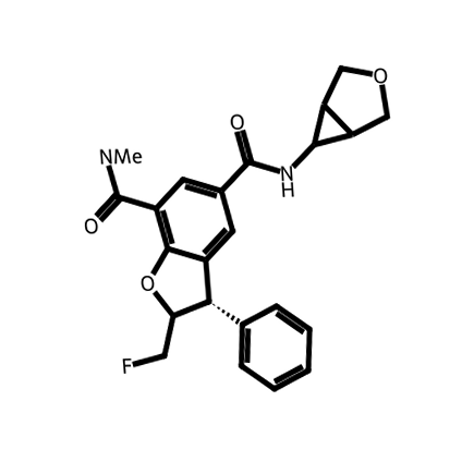 CNC(=O)c1cc(C(=O)NC2C3COCC32)cc2c1OC(CF)[C@H]2c1ccccc1